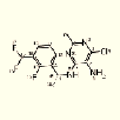 Cc1nc(Cl)c(N)c(N[C@H](C)c2cccc(C(F)F)c2F)n1